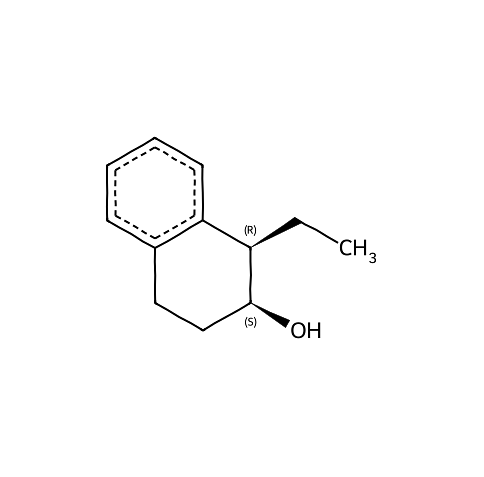 CC[C@@H]1c2ccccc2CC[C@@H]1O